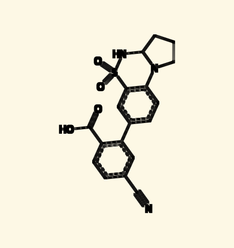 N#Cc1ccc(C(=O)O)c(-c2ccc3c(c2)S(=O)(=O)NC2CCCN32)c1